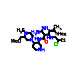 CCCCCC/C(C)=C\C(NCC(Cl)CC)C(C(=O)NC1CNCCC1N1CCN(C)C(COC)C1)C(N)N